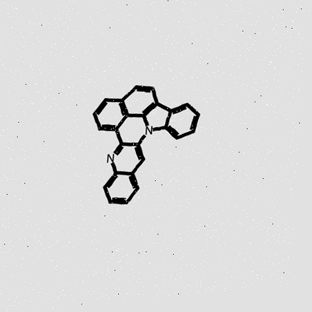 c1ccc2nc3c4cccc5ccc6c7ccccc7n(c3cc2c1)c6c54